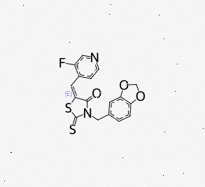 O=C1/C(=C\c2ccncc2F)SC(=S)N1Cc1ccc2c(c1)OCO2